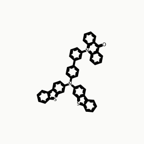 O=c1c2ccccc2n(-c2cccc(-c3ccc(N(c4ccc5c(c4)sc4ccccc45)c4ccc5c(c4)sc4ccccc45)cc3)c2)c2ccccc12